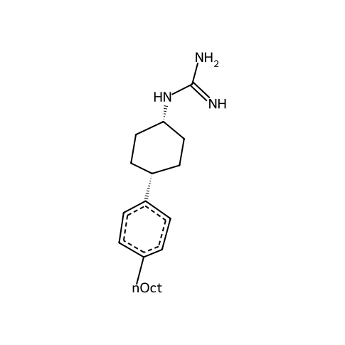 CCCCCCCCc1ccc([C@H]2CC[C@@H](NC(=N)N)CC2)cc1